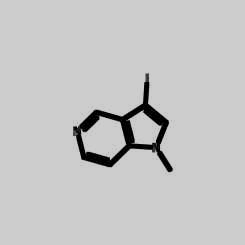 Cn1cc(I)c2cnccc21